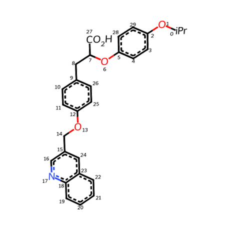 CC(C)Oc1ccc(OC(Cc2ccc(OCc3cnc4ccccc4c3)cc2)C(=O)O)cc1